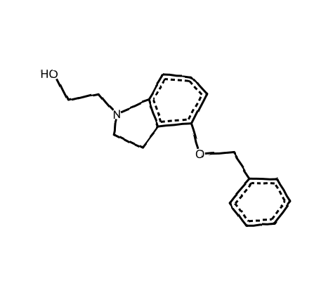 OCCN1CCc2c(OCc3ccccc3)cccc21